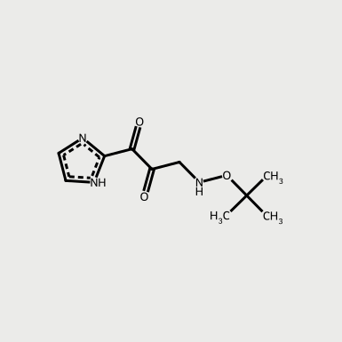 CC(C)(C)ONCC(=O)C(=O)c1ncc[nH]1